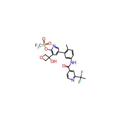 Cc1ccc(NC(=O)c2ccnc(C(C)(F)F)c2)cc1-c1cnc(OS(=O)(=O)C(F)(F)F)c(C2(O)COC2)c1